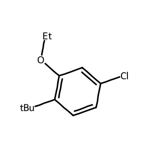 CCOc1cc(Cl)ccc1C(C)(C)C